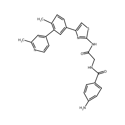 Cc1cc(-c2cc(-c3csc(NC(=O)CNC(=O)c4ccc(N)cc4)n3)ccc2C)ccn1